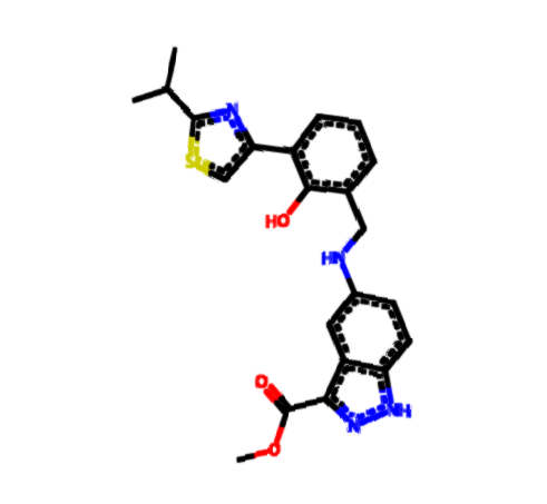 COC(=O)c1n[nH]c2ccc(NCc3cccc(-c4csc(C(C)C)n4)c3O)cc12